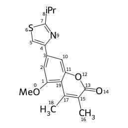 COc1cc(-c2csc(C(C)C)n2)cc2oc(=O)c(C)c(C)c12